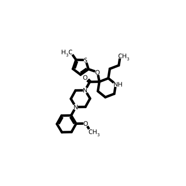 CCCC1NCCCC1(Oc1ccc(C)s1)C(=O)N1CCN(C2=C(OC)CCC=C2)CC1